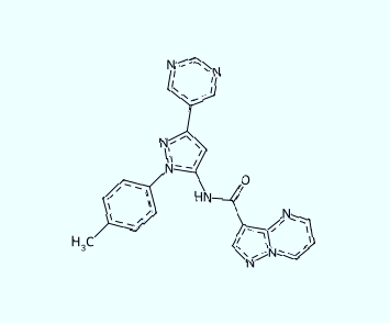 Cc1ccc(-n2nc(-c3cncnc3)cc2NC(=O)c2cnn3cccnc23)cc1